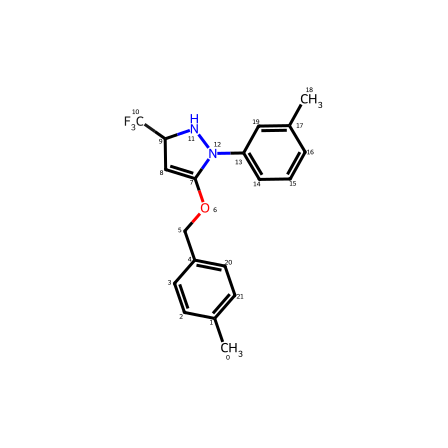 Cc1ccc(COC2=CC(C(F)(F)F)NN2c2cccc(C)c2)cc1